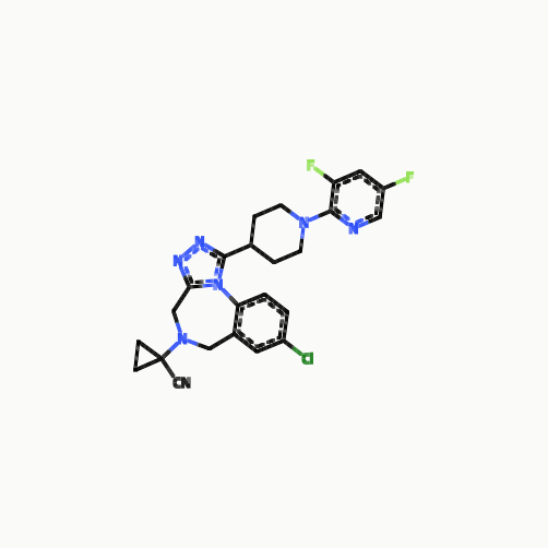 N#CC1(N2Cc3cc(Cl)ccc3-n3c(nnc3C3CCN(c4ncc(F)cc4F)CC3)C2)CC1